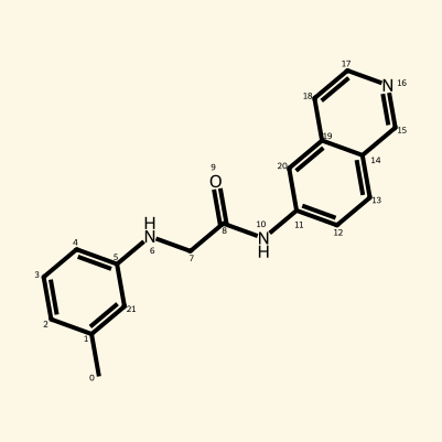 Cc1cccc(NCC(=O)Nc2ccc3cnccc3c2)c1